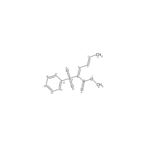 CC=CC=C(C(=O)OC)S(=O)(=O)c1ccccc1